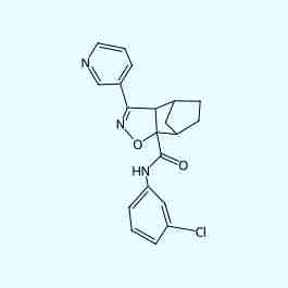 O=C(Nc1cccc(Cl)c1)C12ON=C(c3cccnc3)C1C1CCC2C1